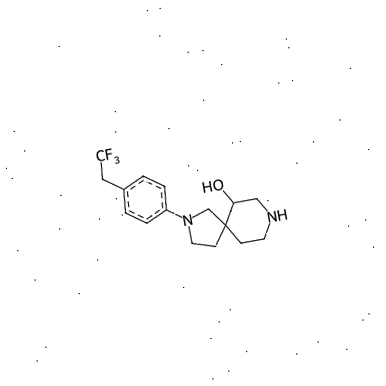 OC1CNCCC12CCN(c1ccc(CC(F)(F)F)cc1)C2